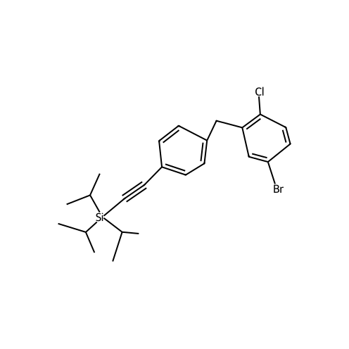 CC(C)[Si](C#Cc1ccc(Cc2cc(Br)ccc2Cl)cc1)(C(C)C)C(C)C